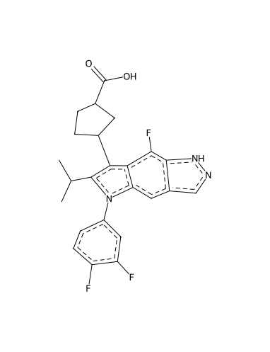 CC(C)c1c(C2CCC(C(=O)O)C2)c2c(F)c3[nH]ncc3cc2n1-c1ccc(F)c(F)c1